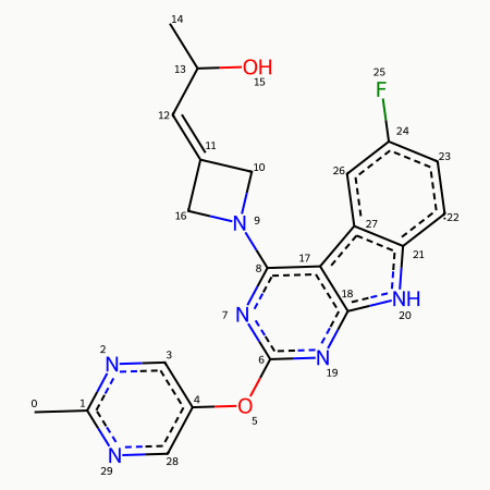 Cc1ncc(Oc2nc(N3CC(=CC(C)O)C3)c3c(n2)[nH]c2[c]cc(F)cc23)cn1